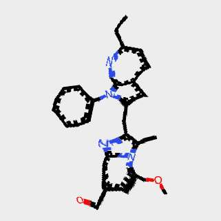 CCc1ccc2cc(-c3nc4cc(C=O)cc(OC)n4c3C)n(-c3ccccc3)c2n1